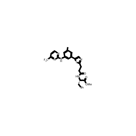 COC(=O)[C@H](CC(C)C)NC(=O)CCc1ncc(-c2cc(C)cc(Nc3nccc(C(F)(F)F)n3)c2)s1